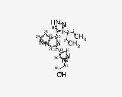 CCC(CC)c1n[nH]cc1-c1nc(-c2cnn(CCO)c2)cn2nccc12